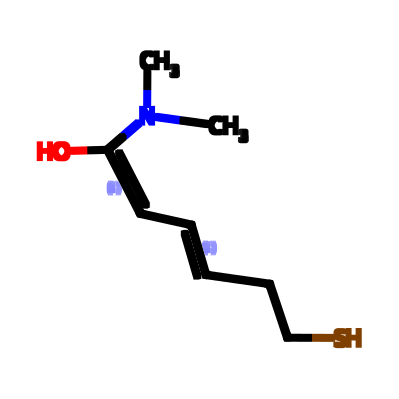 CN(C)/C(O)=C\C=C\CCS